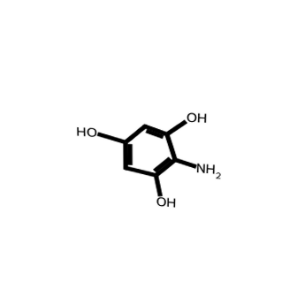 Nc1c(O)cc(O)cc1O